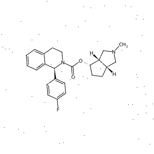 CN1C[C@@H]2CC[C@H](OC(=O)N3CCc4ccccc4[C@@H]3c3ccc(F)cc3)[C@@H]2C1